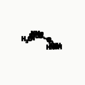 CNc1sc(C)nc1-c1ccc(OCCCCCOc2ccc(C(=N)NO)cc2)cc1